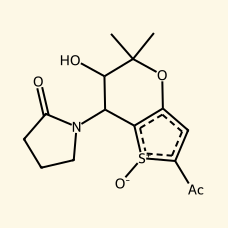 CC(=O)c1cc2c([s+]1[O-])C(N1CCCC1=O)C(O)C(C)(C)O2